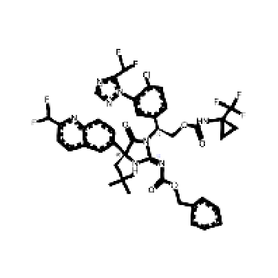 CC(C)(C)C[C@]1(c2ccc3nc(C(F)F)ccc3c2)N/C(=N\C(=O)OCc2ccccc2)N([C@H](COC(=O)NC2(C(F)(F)F)CC2)c2ccc(Cl)c(-n3ncnc3C(F)F)c2)C1=O